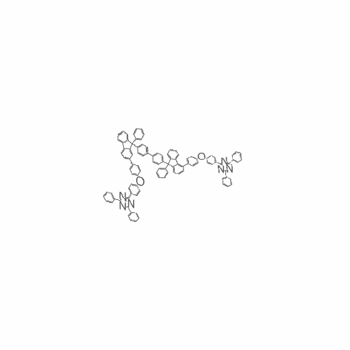 c1ccc(-c2nc(-c3ccccc3)nc(-c3ccc(Oc4ccc(-c5ccc6c(c5)C(c5ccccc5)(c5ccc(-c7ccc(C8(c9ccccc9)c9ccccc9-c9c(-c%10ccc(Oc%11ccc(-c%12nc(-c%13ccccc%13)nc(-c%13ccccc%13)n%12)cc%11)cc%10)cccc98)cc7)cc5)c5ccccc5-6)cc4)cc3)n2)cc1